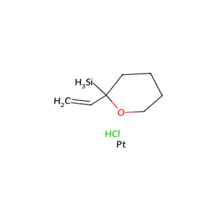 C=CC1([SiH3])CCCCO1.Cl.[Pt]